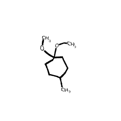 COC1(OC)CCC(C)CC1